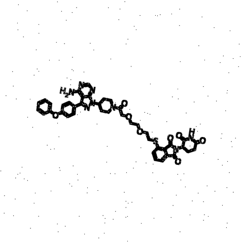 Nc1ncnc2c1c(-c1ccc(Oc3ccccc3)cc1)nn2C1CCN(C(=O)COCCOCCSc2cccc3c2C(=O)N(C2CCC(=O)NC2=O)C3=O)CC1